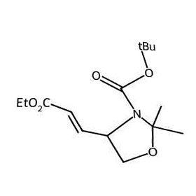 CCOC(=O)/C=C/C1COC(C)(C)N1C(=O)OC(C)(C)C